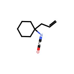 C=CCC1(N=C=O)CCCCC1